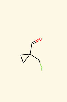 O=CC1(CF)CC1